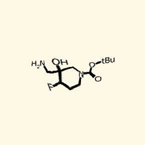 CC(C)(C)OC(=O)N1CCC(F)C(O)(CN)C1